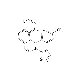 FC(F)(F)c1ccc(C2c3ccccc3C=CN2c2ncns2)c(-c2ccncc2)c1